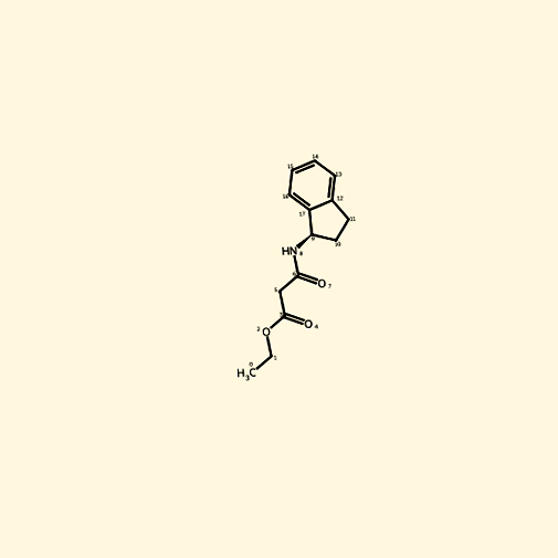 CCOC(=O)CC(=O)N[C@@H]1CCc2ccccc21